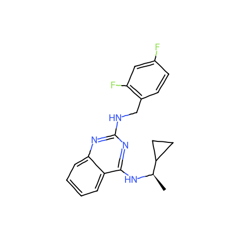 C[C@@H](Nc1nc(NCc2ccc(F)cc2F)nc2ccccc12)C1CC1